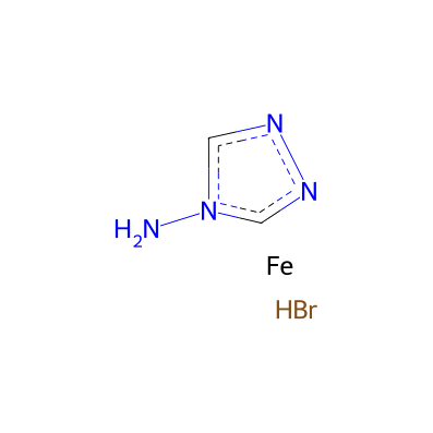 Br.Nn1cnnc1.[Fe]